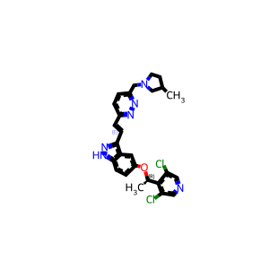 CC1CCN(Cc2ccc(/C=C/c3n[nH]c4ccc(O[C@H](C)c5c(Cl)cncc5Cl)cc34)nn2)C1